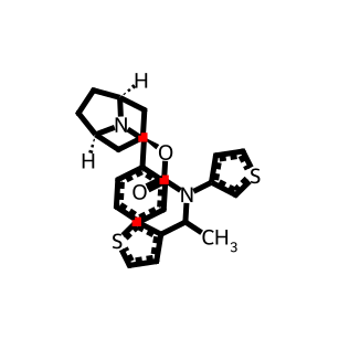 CC(c1ccsc1)N(C(=O)O[C@H]1C[C@H]2CC[C@@H](C1)N2Cc1ccccc1)c1ccsc1